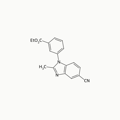 CCOC(=O)c1cccc(-n2c(C)nc3cc(C#N)ccc32)c1